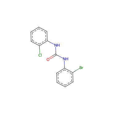 O=C(Nc1ccccc1Cl)Nc1ccccc1Br